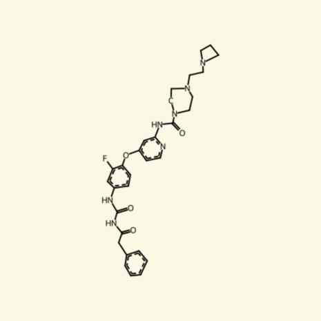 O=C(Cc1ccccc1)NC(=O)Nc1ccc(Oc2ccnc(NC(=O)N3CCN(CCN4CCC4)CC3)c2)c(F)c1